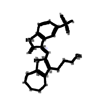 CS(=O)(=O)c1ccc2c(c1)/C(=C/c1[nH]c3c(c1CCCO)CCCCC3)C(=O)N2